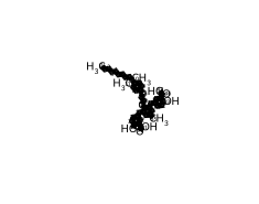 CCCCCCCCCC(C)(C)c1ccc(OCCOc2c(Cc3ccc(O)c(C(=O)O)c3)cc(C)cc2Cc2ccc(O)c(C(=O)O)c2)cc1